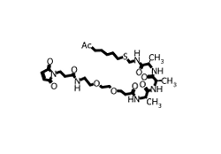 CC(=O)CCCCCSCNC(=O)[C@H](C)NC(=O)[C@@H](C)NC(=O)[C@H](C)NC(=O)CCOCCOCCNC(=O)CCN1C(=O)C=CC1=O